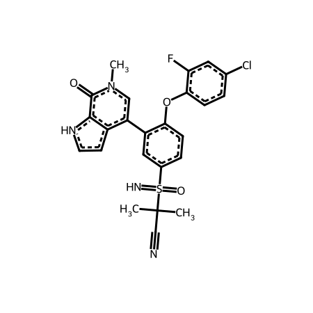 Cn1cc(-c2cc(S(=N)(=O)C(C)(C)C#N)ccc2Oc2ccc(Cl)cc2F)c2cc[nH]c2c1=O